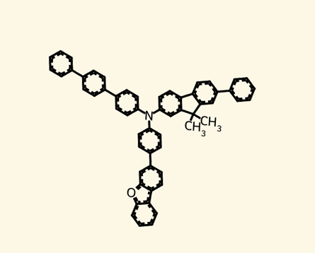 CC1(C)c2cc(-c3ccccc3)ccc2-c2ccc(N(c3ccc(-c4ccc(-c5ccccc5)cc4)cc3)c3ccc(-c4ccc5c(c4)oc4ccccc45)cc3)cc21